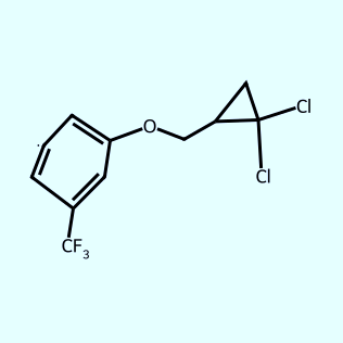 FC(F)(F)c1c[c]cc(OCC2CC2(Cl)Cl)c1